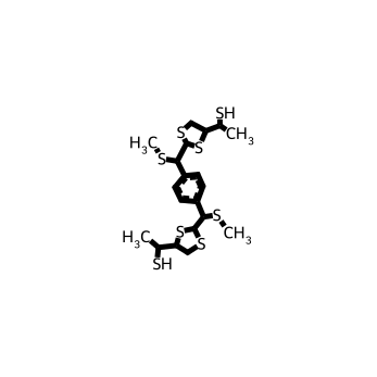 CSC(c1ccc(C(SC)C2SCC(C(C)S)S2)cc1)C1SCC(C(C)S)S1